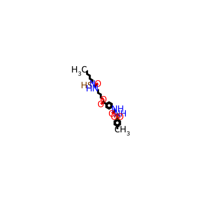 CCCCCCN(S)C(=O)NCCCCOC(=O)c1ccc(NC(=O)NS(=O)(=O)c2ccc(C)cc2)cc1